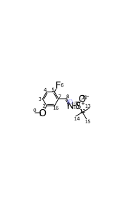 COc1ccc(F)c(/C=N/[S@+]([O-])C(C)(C)C)c1